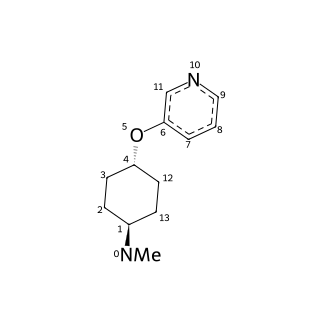 CN[C@H]1CC[C@H](Oc2cccnc2)CC1